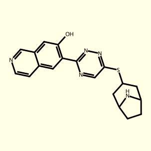 Oc1cc2cnccc2cc1-c1ncc(SC2CC3CCC(C2)N3)nn1